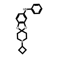 c1ccc(Nc2ccc3c(c2)OC2(CCN(C4CCC4)CC2)O3)cc1